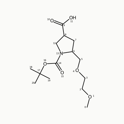 COCCOCC1CC(C(=O)O)CN1C(=O)OC(C)(C)C